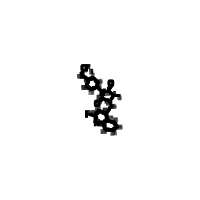 CC1C(=O)N(c2ccc(SC(F)(F)F)cc2)C(=O)N1Cc1cc(F)nc2ccccc12